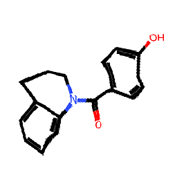 O=C(c1ccc(O)cc1)N1CCCc2ccccc21